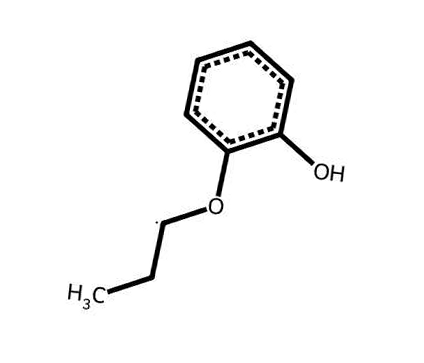 CC[CH]Oc1ccccc1O